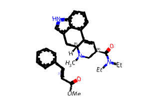 CCN(CC)C(=O)[C@@H]1C=C2c3cccc4[nH]cc(c34)C[C@H]2N(C)C1.COC(=O)/C=C/c1ccccc1